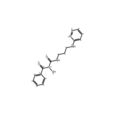 O=C(NCCCNc1cccnn1)N(S)C(=O)c1ccccc1